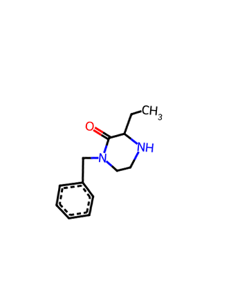 CCC1NCCN(Cc2ccccc2)C1=O